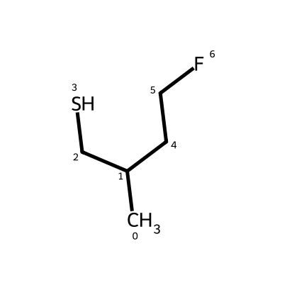 CC(CS)CCF